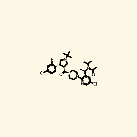 CC(=O)N(C(C)C)[C@H](C)c1cc(Cl)cnc1N1CCN(C(=O)[C@@H]2CN(C(C)(C)C)C[C@H]2c2ccc(Cl)cc2F)CC1